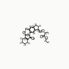 CCOC(=O)C(C)ON=C1CCc2cc(F)c(N3C(=O)C4=C(CCCC4)C3=O)cc21